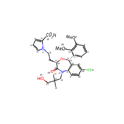 COc1cccc([C@H]2O[C@H](CCn3cccc3C(=O)O)C(=O)N(CC(C)(C)CO)c3ccc(Cl)cc32)c1OC